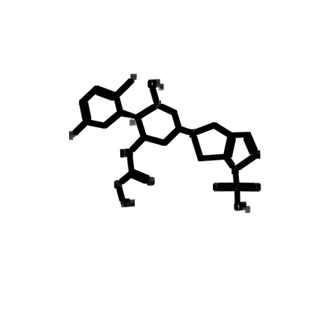 CN1CC(N2Cc3cnn(S(C)(=O)=O)c3C2)CC(NC(=O)OC(C)(C)C)[C@H]1C1CC(F)=CC=C1F